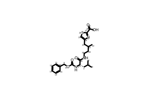 CC(C)C[C@H](NC(=O)OCc1ccccc1)C(=O)NCCC(C)Cc1csc(C(=O)O)n1